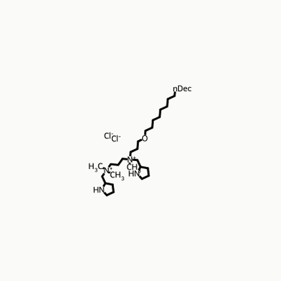 CCCCCCCCCCCCCCCCCCOCCC[N+](C)(CCC[N+](C)(C)CC1CCCN1)CC1CCCN1.[Cl-].[Cl-]